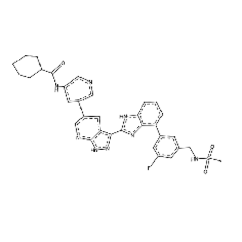 CS(=O)(=O)NCc1cc(F)cc(-c2cccc3[nH]c(-c4n[nH]c5ncc(-c6cncc(NC(=O)C7CCCCC7)c6)cc45)nc23)c1